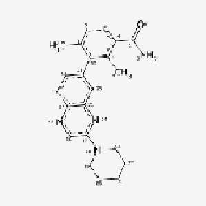 Cc1ccc(C(N)=O)c(C)c1-c1ccc2ncc(N3CCCCC3)nc2c1